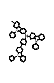 Cc1ccc2c3ccc(N(c4ccc(-c5ccc6c(c5)c5ccccc5n6-c5ccccc5)cc4)c4ccc5c6ccccc6n(-c6ccccc6)c5c4)cc3n(-c3ccccc3)c2c1